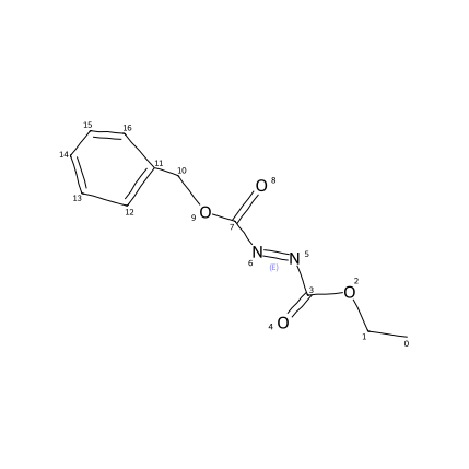 CCOC(=O)/N=N/C(=O)OCc1ccccc1